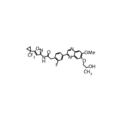 COc1cc2ncc(-c3ccc(CC(=O)Nc4cc(C5(C(F)(F)F)CC5)on4)c(F)c3)nc2cc1OC[C@@H](C)O